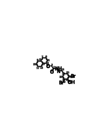 O=C(COc1cccc2ccccc12)N/N=C/c1cc(Br)c(O)c(Br)c1